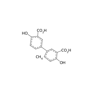 C.O=C(O)c1cc(-c2ccc(O)c(C(=O)O)c2)ccc1O